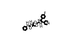 CC1(NC(=O)Nc2ccccc2)COC(c2nc(-c3ccc(F)cc3)c(-c3ccncc3)[nH]2)OC1